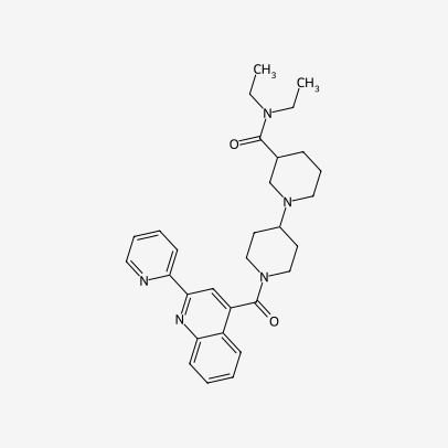 CCN(CC)C(=O)C1CCCN(C2CCN(C(=O)c3cc(-c4ccccn4)nc4ccccc34)CC2)C1